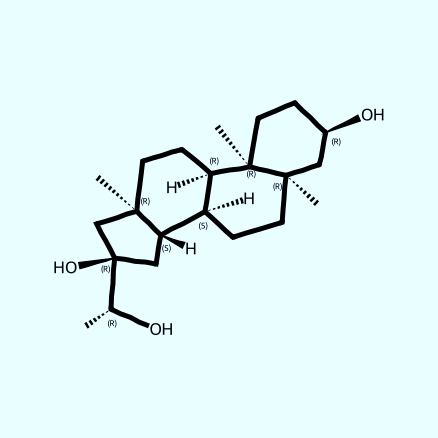 C[C@@H](O)[C@@]1(O)C[C@H]2[C@@H]3CC[C@]4(C)C[C@H](O)CC[C@]4(C)[C@@H]3CC[C@]2(C)C1